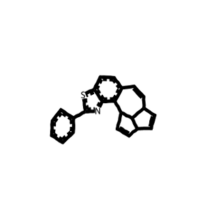 C1=CC2C=CC3C=CC(c4c1ccc1sc(-c5ccccc5)nc41)C23